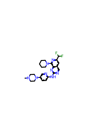 CN1CCN(c2ccc(Nc3ncc4cc(C(F)F)nc(N5CCCCC5)c4n3)nc2)CC1